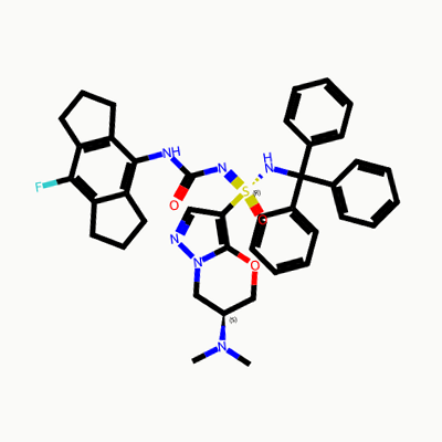 CN(C)[C@@H]1COc2c([S@](=O)(=NC(=O)Nc3c4c(c(F)c5c3CCC5)CCC4)NC(c3ccccc3)(c3ccccc3)c3ccccc3)cnn2C1